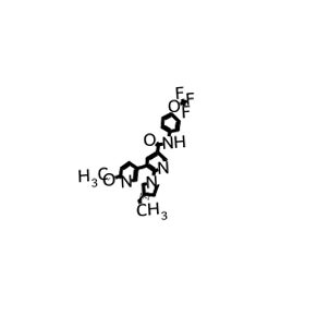 CC[C@@H]1CCN(c2ncc(C(=O)Nc3ccc(OC(F)(F)F)cc3)cc2-c2ccc(OC)nc2)C1